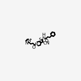 Cn1ccnc1CCC(=O)N1CCc2c(sc(NC(=O)CCc3ccccc3)c2C#N)C1